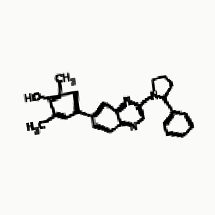 Cc1cc(-c2ccc3ncc(N4CCCC4c4ccccc4)nc3c2)cc(C)c1O